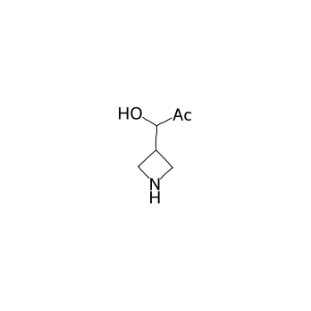 CC(=O)C(O)C1CNC1